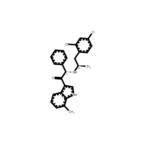 Cc1cccc2c(C(=O)[C@@H](N[C@H](C)Cc3ccc(Cl)cc3Cl)c3ccccc3)c[nH]c12